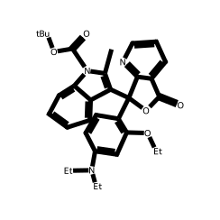 CCOc1cc(N(CC)CC)ccc1C1(c2c(C)n(C(=O)OC(C)(C)C)c3ccccc23)OC(=O)c2cccnc21